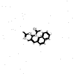 CC(=O)OC(OC(C)=O)C(C)=Cc1ccc2ccccc2c1